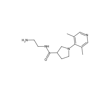 Cc1cncc(C)c1N1CCC(C(=O)NCCN)C1